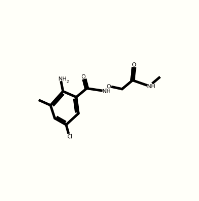 CNC(=O)CONC(=O)c1cc(Cl)cc(C)c1N